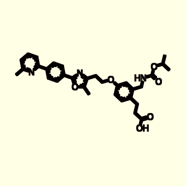 Cc1cccc(-c2ccc(-c3nc(CCOc4ccc(CCC(=O)O)c(CNC(=O)OC(C)C)c4)c(C)o3)cc2)n1